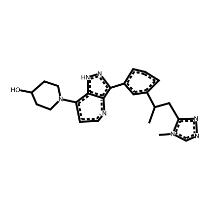 CC(Cc1nncn1C)c1cccc(-c2n[nH]c3c(N4CCC(O)CC4)ccnc23)c1